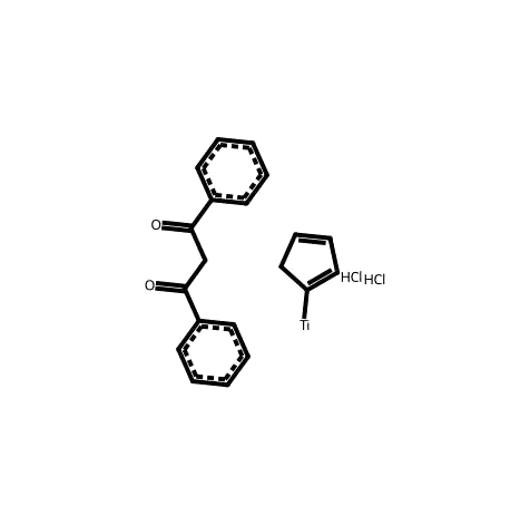 Cl.Cl.O=C(CC(=O)c1ccccc1)c1ccccc1.[Ti][C]1=CC=CC1